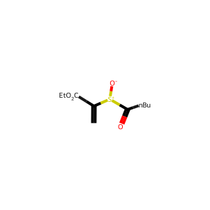 C=C(C(=O)OCC)[S+]([O-])C(=O)CCCC